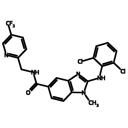 Cn1c(Nc2c(Cl)cccc2Cl)nc2cc(C(=O)NCc3ccc(C(F)(F)F)cn3)ccc21